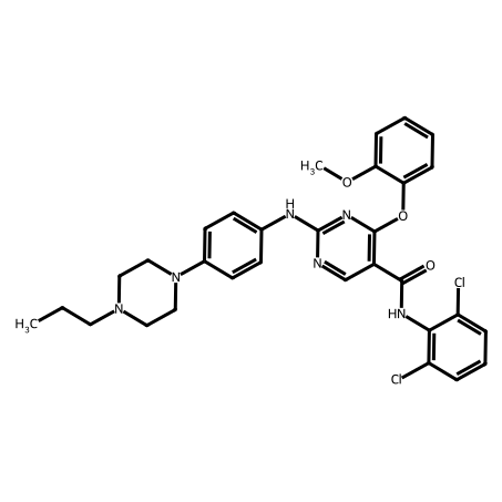 CCCN1CCN(c2ccc(Nc3ncc(C(=O)Nc4c(Cl)cccc4Cl)c(Oc4ccccc4OC)n3)cc2)CC1